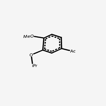 COc1ccc(C(C)=O)cc1OC(C)C